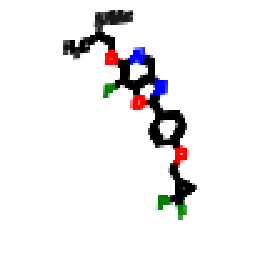 CC(=O)N[C@@H](C)COc1ncc2nc(-c3ccc(OC[C@H]4CC4(F)F)cc3)oc2c1F